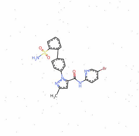 Cc1cc(C(=O)Nc2ccc(Br)cn2)n(-c2ccc(-c3ccccc3S(N)(=O)=O)cc2)n1